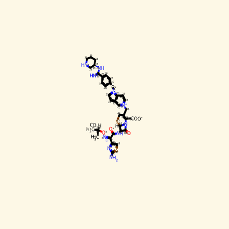 CC(C)(O/N=C(\C(=O)N[C@@H]1C(=O)N2C(C(=O)[O-])=C(C[n+]3ccc4c(ccn4Cc4ccc(C(=N)N[C@@H]5CCCNC5)cc4)c3)CS[C@H]12)c1csc(N)n1)C(=O)O